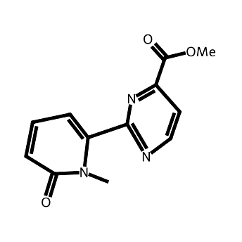 COC(=O)c1ccnc(-c2cccc(=O)n2C)n1